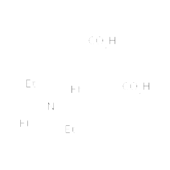 CC[N+](CC)(CC)CC.O=C(O)/C=C\C(=O)O